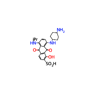 CC(C)Nc1ccc(NC2CCC(N)CC2)c2c1C(=O)c1ccc(S(=O)(=O)O)c(O)c1C2=O